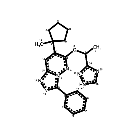 CC(Oc1nn2c(-c3ccccc3)nnc2cc1C1(C)CCCC1)c1nc[nH]n1